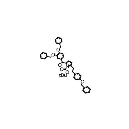 CC(C)(C)OC(=O)n1c(CCc2ccc(OCc3ccccc3)cc2)ccc1C(=O)c1ccc(OCc2ccccc2)c(OCc2ccccc2)c1